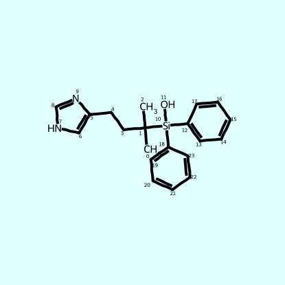 CC(C)(CCc1c[nH]cn1)[Si](O)(c1ccccc1)c1ccccc1